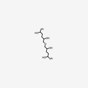 CCCC(O)CCC(O)COCC(O)CCC(O)CCC